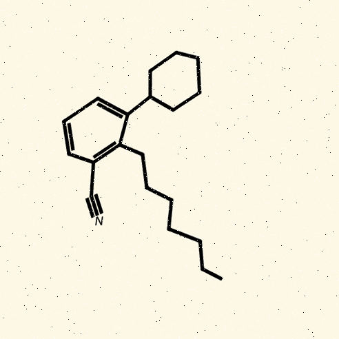 CCCCCCCc1c(C#N)cccc1C1CCCCC1